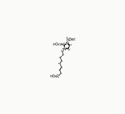 CCCCCCCCCCCCCCCCCC[n+]1ccn(CCCCCCCCCC)c1CCCCCCCC